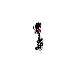 COc1cc(C=C2c3ccccc3C(=O)c3ccccc32)ccc1OCCCCCOc1cc2c(cc1OC)C(=O)N1CCC[C@H]1C=N2